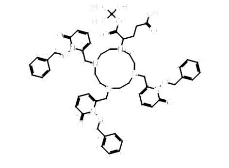 CC(C)(C)OC(=O)C(CCC(=O)O)N1CCN(Cc2cccc(=O)n2OCc2ccccc2)CCN(Cc2cccc(=O)n2OCc2ccccc2)CCN(Cc2cccc(=O)n2OCc2ccccc2)CC1